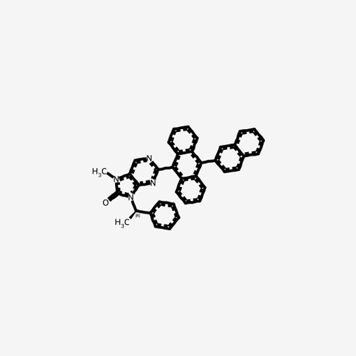 C[C@H](c1ccccc1)n1c(=O)n(C)c2cnc(-c3c4ccccc4c(-c4ccc5ccccc5c4)c4ccccc34)nc21